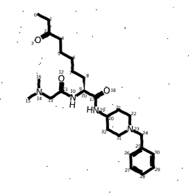 CCC(=O)CCCCC[C@H](NC(=O)CN(C)C)C(=O)NC1CCN(Cc2ccccc2)CC1